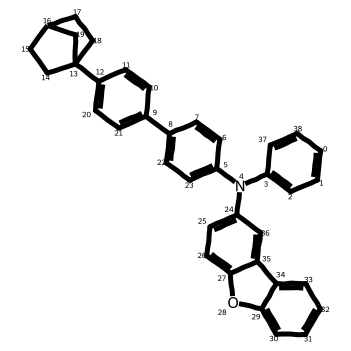 c1ccc(N(c2ccc(-c3ccc(C45CCC(CC4)C5)cc3)cc2)c2ccc3oc4ccccc4c3c2)cc1